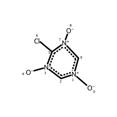 [O-][n+]1c[n+]([O-])c(Cl)[n+]([O-])c1